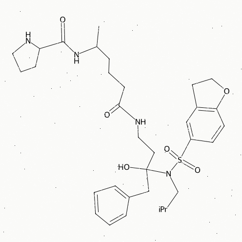 CC(C)CN(C(O)(CCNC(=O)CCCC(C)NC(=O)C1CCCN1)Cc1ccccc1)S(=O)(=O)c1ccc2c(c1)CCO2